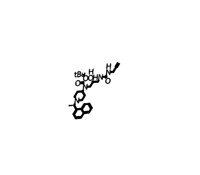 C#CCNC(=O)NCC(O)CN(C(=O)OC(C)(C)C)C1CCN([C@H](C)c2cccc3ccccc23)CC1